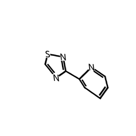 c1ccc(-c2ncsn2)nc1